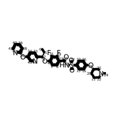 CC[C@@H](Oc1ccc(C(=O)NS(=O)(=O)c2ccc(O[C@@H]3CCCN(C)C3)cc2)c(F)c1F)c1ccc(Oc2ccccn2)cn1